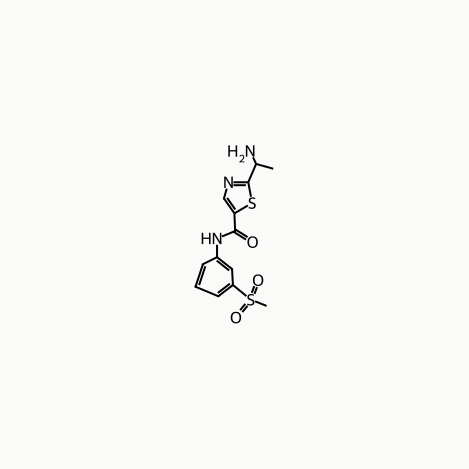 CC(N)c1ncc(C(=O)Nc2cccc(S(C)(=O)=O)c2)s1